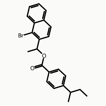 CCC(C)c1ccc(C(=O)OC(C)c2ccc3ccccc3c2Br)cc1